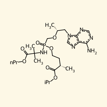 CCCOC(=O)C(C)(C)NP(=O)(CO[C@H](C)Cn1cnc2c(N)ncnc21)OCC[C@H](C)C(=O)OC(C)C